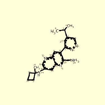 CC(C)c1cnnc(-c2cc3ncc(NC4(C)CCC4)cc3nc2N)c1